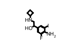 Nc1c(F)cc(C(O)CNC2CCC2)cc1I